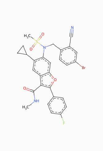 CNC(=O)c1c(-c2ccc(F)cc2)oc2cc(N(Cc3ccc(Br)cc3C#N)S(C)(=O)=O)c(C3CC3)cc12